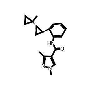 Cc1nn(C)cc1C(=O)Nc1ccccc1[C@H]1C[C@@H]1C1(C)CC1